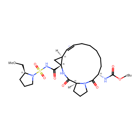 COC[C@@H]1CCCN1S(=O)(=O)NC(=O)[C@@]12C[C@H]1/C=C\CCCCC[C@H](NC(=O)OC(C)(C)C)C(=O)N1CCC[C@H]1C(=O)N2